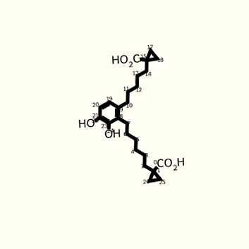 O=C(O)C1(CCCCCCc2c(CCCCCC3(C(=O)O)CC3)ccc(O)c2O)CC1